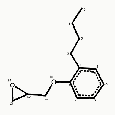 CCCCc1ccccc1OCC1CO1